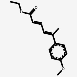 CCOC(=O)C=CC=C(C)c1ccc(OC)cc1